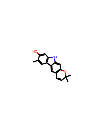 Cc1cc2c(cc1O)[nH]c1cc3c(cc12)C=CC(C)(C)O3